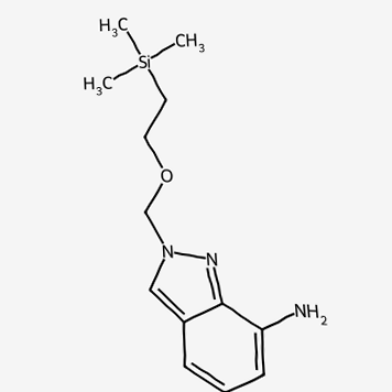 C[Si](C)(C)CCOCn1cc2cccc(N)c2n1